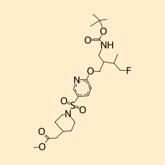 COC(=O)CC1CCN(S(=O)(=O)c2ccc(OCC(CNC(=O)OC(C)(C)C)C(C)CF)nc2)CC1